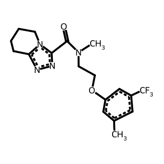 Cc1cc(OCCN(C)C(=O)c2nnc3n2CCCC3)cc(C(F)(F)F)c1